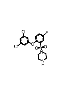 O=S(=O)(c1cc(F)ccc1Oc1cc(Cl)cc(Cl)c1)N1CCNCC1